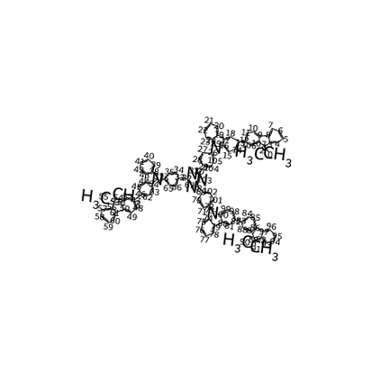 CC1(C)c2ccccc2-c2ccc(-c3ccc4c(c3)c3ccccc3n4-c3ccc(-c4nc(-c5ccc(-n6c7ccccc7c7cc(-c8ccc9c(c8)C(C)(C)c8ccccc8-9)ccc76)cc5)nc(-c5ccc(-n6c7ccccc7c7cc(-c8ccc9c(c8)C(C)(C)c8ccccc8-9)ccc76)cc5)n4)cc3)cc21